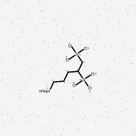 CCCCCCCCCCC(C[Si](Cl)(Cl)Cl)[Si](Cl)(Cl)Cl